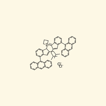 CC(C)CC1=Cc2c(-c3c4ccccc4cc4ccccc34)cccc2[CH]1[Zr+2]1([CH]2C(CC(C)C)=Cc3c(-c4c5ccccc5cc5ccccc45)cccc32)[CH2]C[CH2]1.[Cl-].[Cl-]